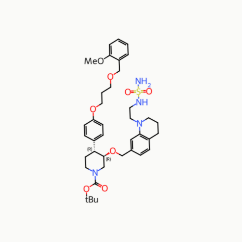 COc1ccccc1COCCCOc1ccc([C@H]2CCN(C(=O)OC(C)(C)C)C[C@@H]2OCc2ccc3c(c2)N(CCNS(N)(=O)=O)CCC3)cc1